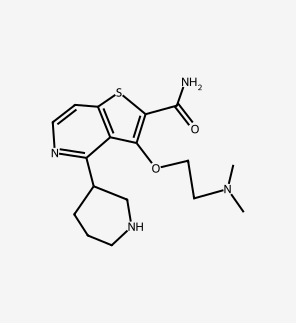 CN(C)CCOc1c(C(N)=O)sc2ccnc(C3CCCNC3)c12